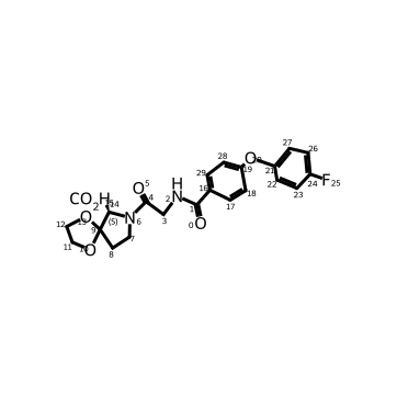 O=C(NCC(=O)N1CCC2(OCCO2)[C@H]1C(=O)O)c1ccc(Oc2ccc(F)cc2)cc1